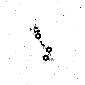 CCCc1ccccc1Oc1cccc(OCCCOc2ccc(C3(C)SC(=O)NC3=O)cc2)c1